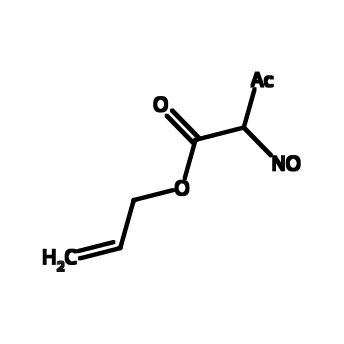 C=CCOC(=O)C(N=O)C(C)=O